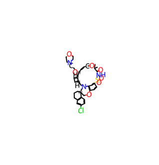 CC1(C)OCC=C[C@@H](OCCN2CCOCC2)[C@@H]2CC[C@H]2CN2C[C@@]3(CCCc4cc(Cl)ccc43)COc3ccc(cc32)S(=O)(=O)NC1=O